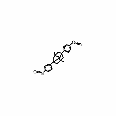 CC12CC3(C)CC(c4ccc(N=C=O)cc4)(C1)CC(c1ccc(OC#N)cc1)(C2)C3